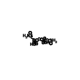 NCC(CCOc1cc2c(cc1S(=O)(=O)O)-c1cc(S(=O)(=O)O)c(OCCC(CN)Sc3ccccc3)cc1C2)Sc1ccccc1